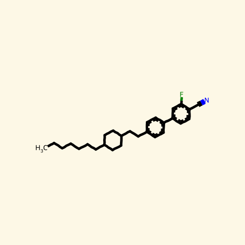 CCCCCCCC1CCC(CCc2ccc(-c3ccc(C#N)c(F)c3)cc2)CC1